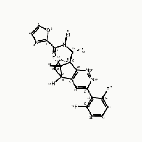 CCN(C(=O)c1ncco1)[C@H](C)[C@@]12CC[C@@H](c3cc(-c4c(F)cccc4F)nnc31)C2(C)C